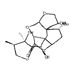 C[C@@H]1COC([C@H](O)C23C4C[C@@H](C(C)(C)C)C25C(OC[C@@H]5O)OC3C(=O)O4)[C@]1(C)O